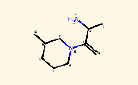 C=C(C(C)N)N1CCCC(C)C1